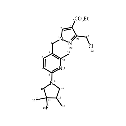 CCOC(=O)c1cn(Cc2ccc(N3CC(C)C(F)(F)C3)nc2C)nc1CCl